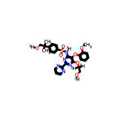 [2H]OCC([2H])([2H])Oc1nc(-c2ncccn2)nc(N([2H])S(=O)(=O)c2ccc(C(C)(C)CO[2H])cc2)c1Oc1ccccc1OC